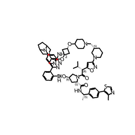 Cc1ncsc1-c1ccc([C@H](C)NC(=O)[C@@H]2C[C@@H](O)CN2C(=O)[C@@H](c2cc(N3CCC[C@@H](CN4CCC(O[C@H]5C[C@H](Oc6cc(N7C8CCC7CN(c7cc(-c9ccccc9O)nnc7N)C8)ccn6)C5)CC4)C3)no2)C(C)C)cc1